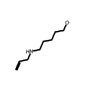 C=CCNCCCCC[O]